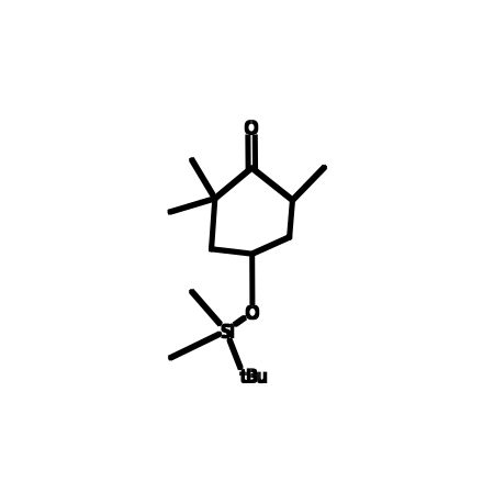 CC1CC(O[Si](C)(C)C(C)(C)C)CC(C)(C)C1=O